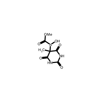 COC(=O)N(O)C1(C)C(=O)NC(=O)NC1=O